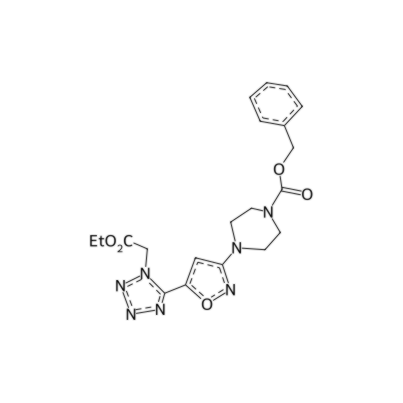 CCOC(=O)Cn1nnnc1-c1cc(N2CCN(C(=O)OCc3ccccc3)CC2)no1